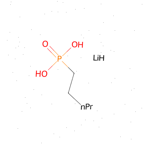 CCCCCP(=O)(O)O.[LiH]